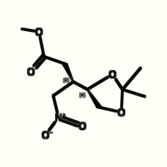 COC(=O)C[C@H](C[N+](=O)[O-])[C@@H]1COC(C)(C)O1